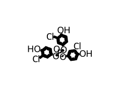 O=P(Oc1ccc(O)c(Cl)c1)(Oc1ccc(O)c(Cl)c1)Oc1ccc(O)c(Cl)c1